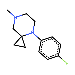 CN1CCN(c2ccc(F)cc2)C2(CC2)C1